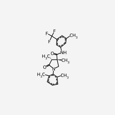 Cc1cc(NC(=O)[C@]2(C)CN(c3c(C)cccc3C)C(=O)[C@@H]2C)cc(C(F)(F)F)c1